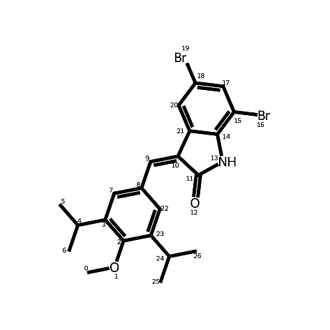 COc1c(C(C)C)cc(C=C2C(=O)Nc3c(Br)cc(Br)cc32)cc1C(C)C